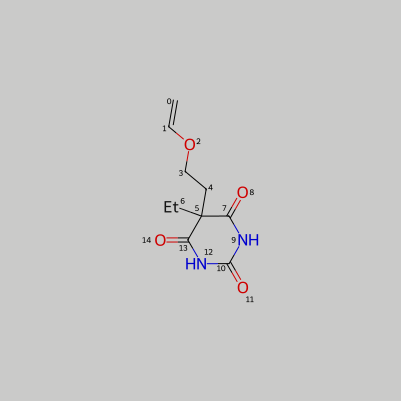 C=COCCC1(CC)C(=O)NC(=O)NC1=O